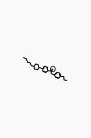 CCCCCC1CCC(c2ccc(C(=O)Cc3ccc(CCC)cc3)cc2)CC1